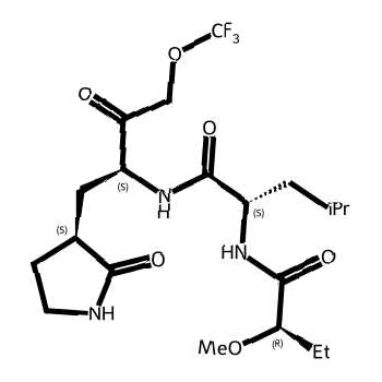 CC[C@@H](OC)C(=O)N[C@@H](CC(C)C)C(=O)N[C@@H](C[C@@H]1CCNC1=O)C(=O)COC(F)(F)F